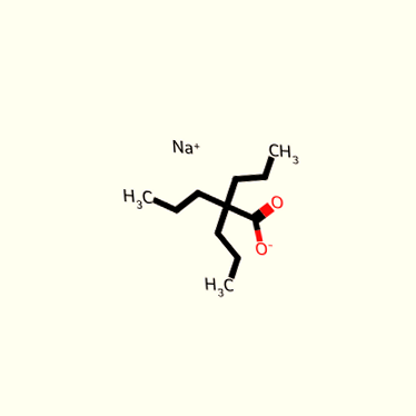 CCCC(CCC)(CCC)C(=O)[O-].[Na+]